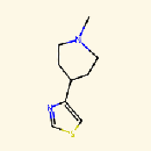 CN1CCC(c2cscn2)CC1